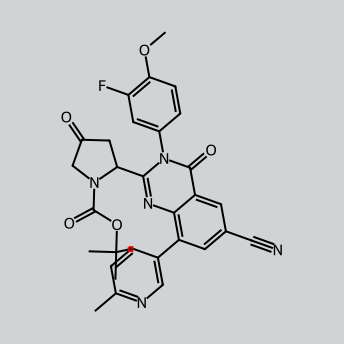 COc1ccc(-n2c(C3CC(=O)CN3C(=O)OC(C)(C)C)nc3c(-c4ccc(C)nc4)cc(C#N)cc3c2=O)cc1F